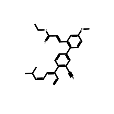 C=C/C(=C\C=C/C(C)C)c1ccc(-c2ccc(OC)cc2/C=C/C(=O)OCC)cc1C#N